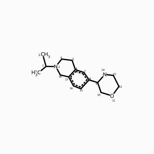 CC(C)N1CCc2cc(C3COCC[N]3)ccc2C1